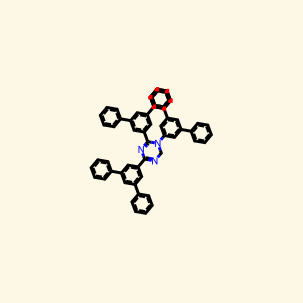 c1ccc(-c2cc(C3=NCN(c4cc(-c5ccccc5)cc(-c5ccccc5)c4)C(c4cc(-c5ccccc5)cc(-c5ccccc5)c4)=N3)cc(-c3ccccc3)c2)cc1